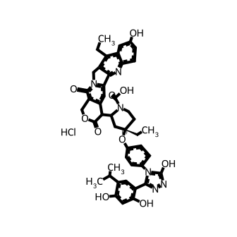 CCc1c2c(nc3ccc(O)cc13)-c1cc3c(c(=O)n1C2)COC(=O)C3C1C[C@@](CC)(Oc2ccc(-n3c(O)nnc3-c3cc(C(C)C)c(O)cc3O)cc2)CCN1C(=O)O.Cl